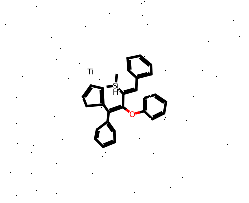 C[SiH](C)C(=Cc1ccccc1)C(Oc1ccccc1)=C(C1=CC=CC1)c1ccccc1.[Ti]